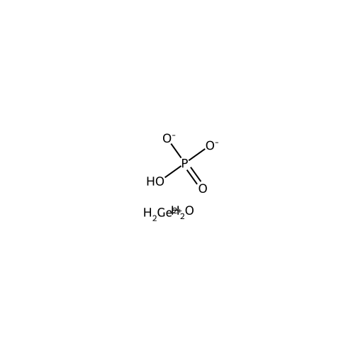 O.O=P([O-])([O-])O.[GeH2+2]